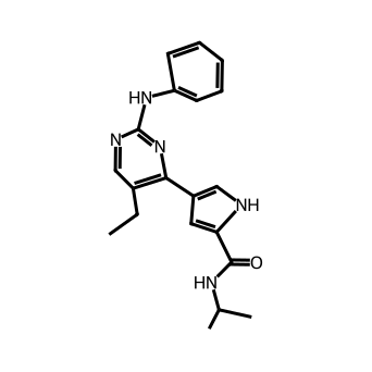 CCc1cnc(Nc2ccccc2)nc1-c1c[nH]c(C(=O)NC(C)C)c1